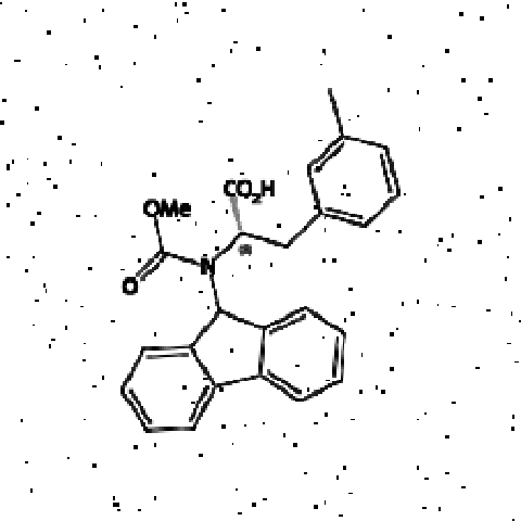 COC(=O)N(C1c2ccccc2-c2ccccc21)[C@@H](Cc1cccc(C)c1)C(=O)O